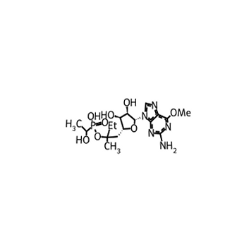 CCC(C)(C[C@H]1O[C@@H](n2cnc3c(OC)nc(N)nc32)[C@H](O)[C@@H]1O)OP(=O)(O)C(C)O